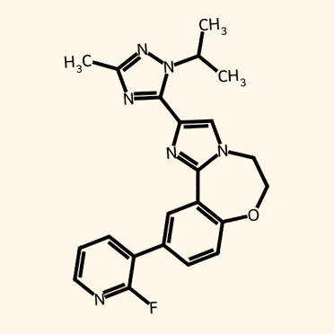 Cc1nc(-c2cn3c(n2)-c2cc(-c4cccnc4F)ccc2OCC3)n(C(C)C)n1